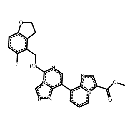 CCOC(=O)c1cnc2c(-c3cnc(NCc4c(F)ccc5c4CCO5)n4cnnc34)cccn12